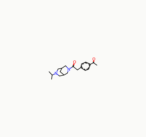 CC(=O)c1ccc(CC(=O)N2CC3CC(C2)CN(C(C)C)C3)cc1